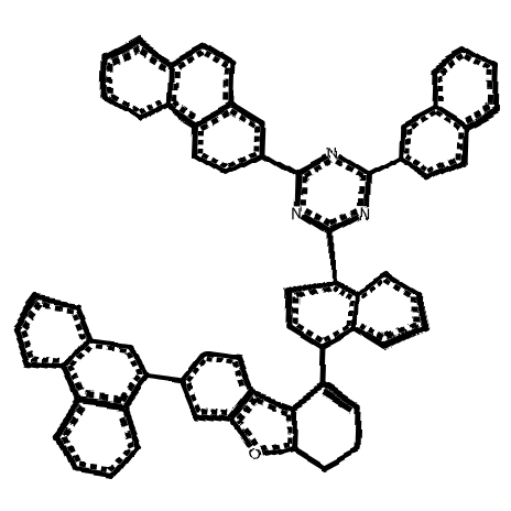 C1=C(c2ccc(-c3nc(-c4ccc5ccccc5c4)nc(-c4ccc5c(ccc6ccccc65)c4)n3)c3ccccc23)c2c(oc3cc(-c4cc5ccccc5c5ccccc45)ccc23)CC1